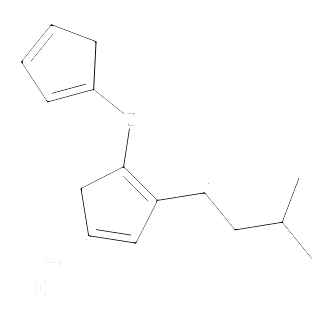 CC(C)CCC1=[C]([Zr][C]2=CC=CC2)CC=C1.Cl.Cl